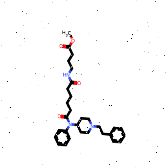 COC(=O)CCCNC(=O)CCCCC(=O)N(c1ccccc1)C1CCN(CCc2ccccc2)CC1